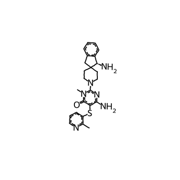 Cc1ncccc1Sc1c(N)nc(N2CCC3(CC2)Cc2ccccc2[C@H]3N)n(C)c1=O